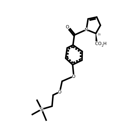 C[Si](C)(C)CCOCOc1ccc(C(=O)N2C=CC[C@H]2C(=O)O)cc1